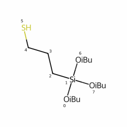 CC(C)CO[Si](CCCS)(OCC(C)C)OCC(C)C